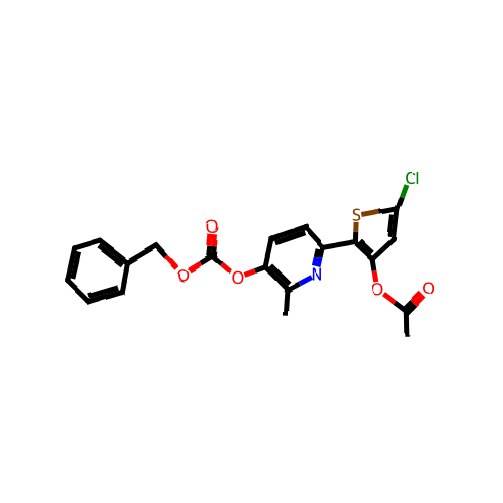 CC(=O)Oc1cc(Cl)sc1-c1ccc(OC(=O)OCc2ccccc2)c(C)n1